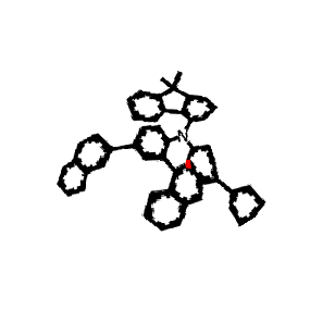 CC1(C)c2ccccc2-c2c(N(c3ccc(-c4ccccc4)cc3)c3ccc(-c4ccc5ccccc5c4)cc3-c3cccc4ccccc34)cccc21